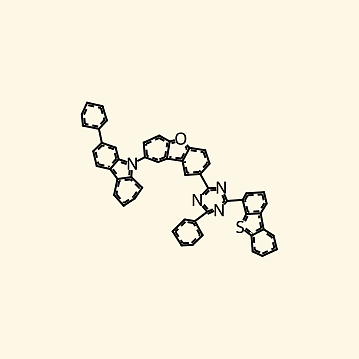 c1ccc(-c2ccc3c4ccccc4n(-c4ccc5oc6ccc(-c7nc(-c8ccccc8)nc(-c8cccc9c8sc8ccccc89)n7)cc6c5c4)c3c2)cc1